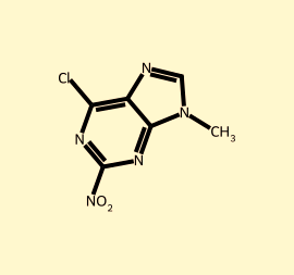 Cn1cnc2c(Cl)nc([N+](=O)[O-])nc21